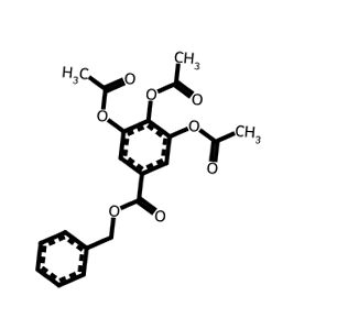 CC(=O)Oc1cc(C(=O)OCc2ccccc2)cc(OC(C)=O)c1OC(C)=O